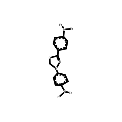 CCN(CC)c1ccc(C2=NN(c3ccc(N(CC)CC)cc3)CO2)cc1